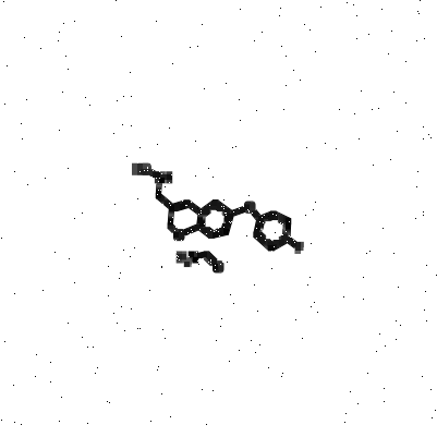 NC=O.ONCC1=Cc2cc(Oc3ccc(F)cc3)ccc2OC1